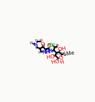 CSC(O)C(O)C(C(O)CO)C(NC(=O)C1NCC2CN(C)CCOC21)C(C)Cl